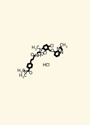 Cc1cnc2cccc(OCc3c(Cl)ccc(N(C)C(=O)CNC(=O)/C=C/c4ccc(C(=O)N(C)C)cc4)c3Cl)c2n1.Cl